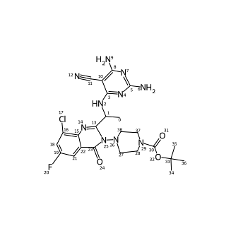 CC(Nc1nc(N)nc(N)c1C#N)c1nc2c(Cl)cc(F)cc2c(=O)n1N1CCN(C(=O)OC(C)(C)C)CC1